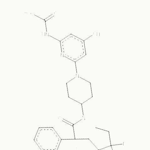 CC(=O)Nc1cc(C)cc(N2CCC(NC(=O)[C@](O)(c3ccccc3)[C@@H]3CCC(F)(F)C3)CC2)n1